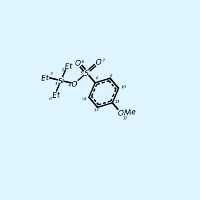 CC[Si](CC)(CC)OS(=O)(=O)c1ccc(OC)cc1